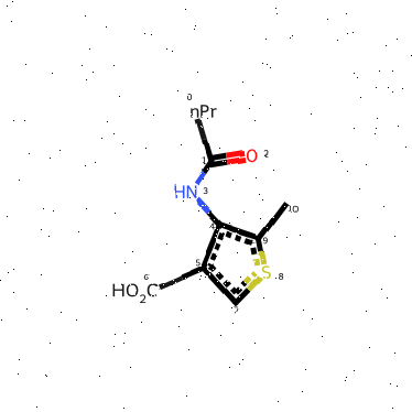 CCCC(=O)Nc1c(C(=O)O)csc1C